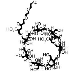 CN[C@H](CSCC1OC2O[C@@H]3C(CO)OC(O[C@@H]4C(CO)O[C@H](O[C@@H]5C(CO)O[C@@H](O[C@@H]6C(CSCC(CC(=O)CCOCCOCCC(C)=O)C(=O)O)O[C@@H](O[C@@H]7C(CO)O[C@@H](O[C@@H]8C(CO)O[C@@H](O[C@H]1[C@H](O)[C@@H]2O)C(O)[C@H]8O)C(O)[C@H]7O)C(O)[C@H]6O)C(O)[C@H]5O)C(O)[C@H]4O)[C@@H](O)[C@H]3O)C(=O)O